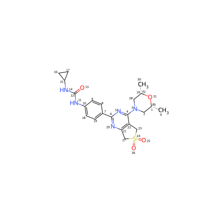 C[C@@H]1CN(c2nc(-c3ccc(NC(=O)NC4CC4)cc3)nc3c2CS(=O)(=O)C3)C[C@H](C)O1